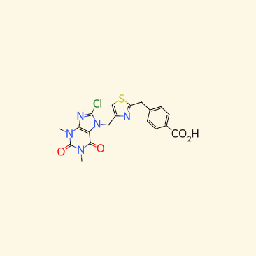 Cn1c(=O)c2c(nc(Cl)n2Cc2csc(Cc3ccc(C(=O)O)cc3)n2)n(C)c1=O